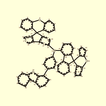 c1ccc2c(c1)Oc1ccccc1C21c2ccccc2-c2cc(N(c3ccc(-c4cccc5c4oc4ccccc45)cc3)c3cccc4c3-c3ccccc3C43c4ccccc4Oc4ccccc43)ccc21